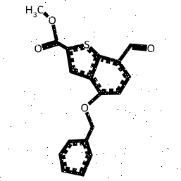 COC(=O)c1cc2c(OCc3ccccc3)ccc(C=O)c2s1